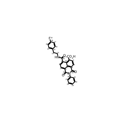 O=C(O)c1ccc2c3c(ccc(C(=O)NCCc4ccc(F)cc4)c13)C(=O)N(c1ccccc1)C2=O